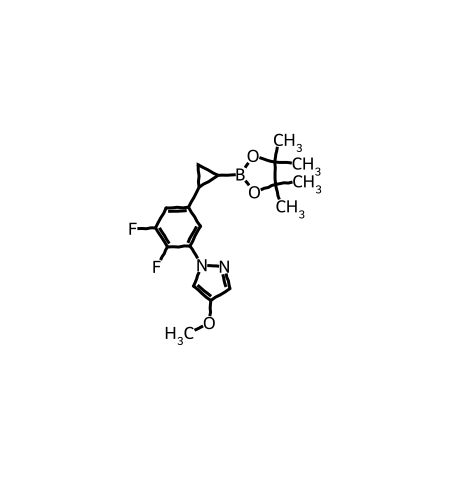 COc1cnn(-c2cc(C3CC3B3OC(C)(C)C(C)(C)O3)cc(F)c2F)c1